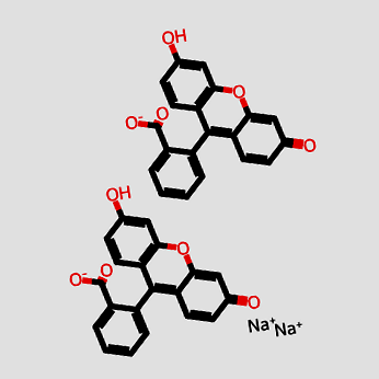 O=C([O-])c1ccccc1-c1c2ccc(=O)cc-2oc2cc(O)ccc12.O=C([O-])c1ccccc1-c1c2ccc(=O)cc-2oc2cc(O)ccc12.[Na+].[Na+]